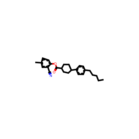 CCCCCc1ccc(C2CCC(C(=O)Oc3ccc(C)cc3C#N)CC2)cc1